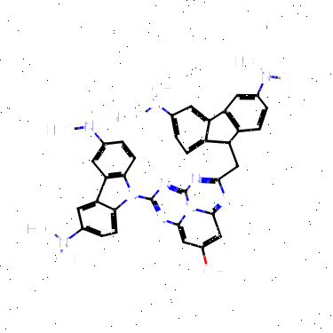 CN(C)c1ccc2c(c1)-c1cc(N(C)C)ccc1C2CC1=NC2=NC(n3c4ccc(N(C)C)cc4c4cc(N(C)C)ccc43)=NC3=CC(O)=CC(=N1)N32